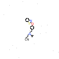 N#CCCCN(CCc1ccc(Oc2nc3ccccc3s2)cc1)C1CC1